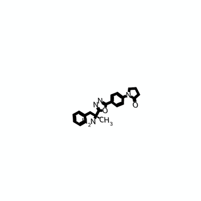 C[C@@](N)(Cc1ccccc1)c1nnc(-c2ccc(N3CCCC3=O)cc2)o1